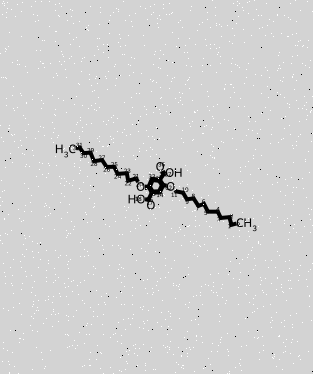 CCCCCCCCCCCCOc1cc(C(=O)O)c(OCCCCCCCCCCCC)cc1C(=O)O